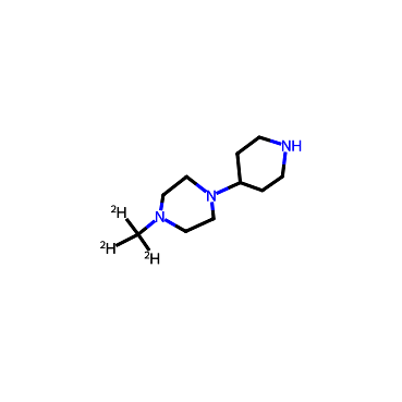 [2H]C([2H])([2H])N1CCN(C2CCNCC2)CC1